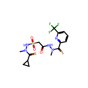 CN(NC(=O)CS(=O)(=O)NN(C)C(=S)C1CC1)C(=S)c1cccc(C(F)(F)F)n1